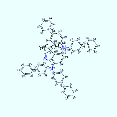 CC1(C)C=Nc2c(N(c3ccc(-c4ccccc4)cc3)c3ccc(-c4ccccc4)cc3)ccc(N(c3ccc(-c4ccccc4)cc3)c3ccc(-c4ccccc4)cc3)c21